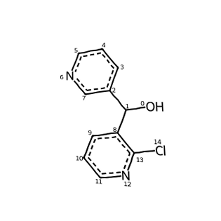 OC(c1cccnc1)c1cccnc1Cl